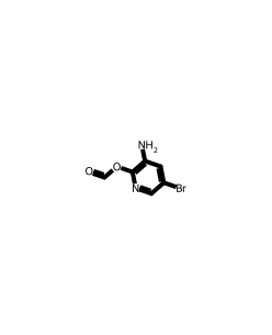 Nc1cc(Br)cnc1OC=O